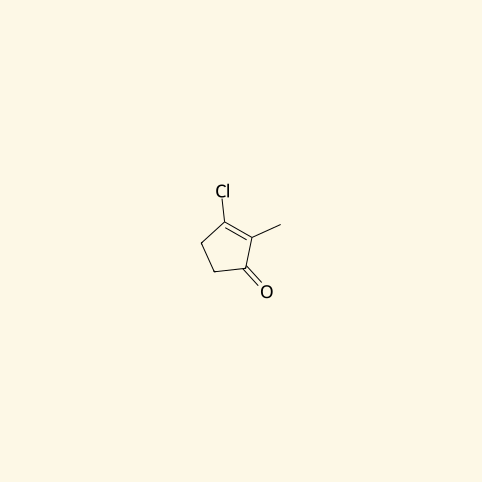 CC1=C(Cl)CCC1=O